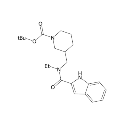 CCN(CC1CCCN(C(=O)OC(C)(C)C)C1)C(=O)c1cc2ccccc2[nH]1